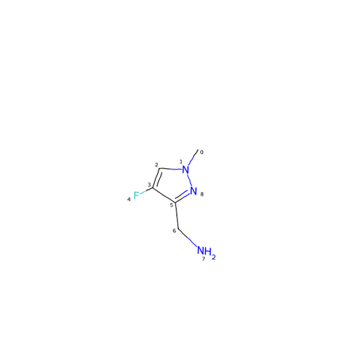 Cn1cc(F)c(CN)n1